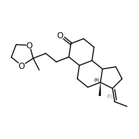 C/C=C1\CCC2C3CCC(=O)C(CCC4(C)OCCO4)C3CC[C@@]12C